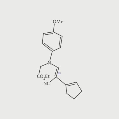 CCOC(=O)CN(/C=C(\C#N)C1=CCCC1)c1ccc(OC)cc1